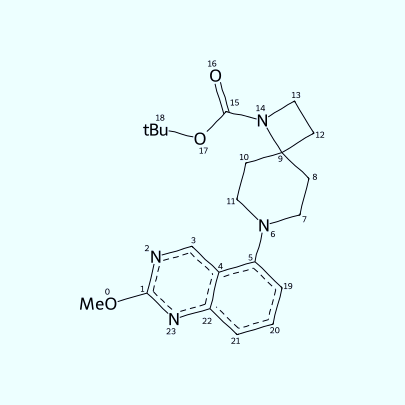 COc1ncc2c(N3CCC4(CC3)CCN4C(=O)OC(C)(C)C)cccc2n1